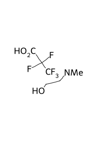 CNCCO.O=C(O)C(F)(F)C(F)(F)F